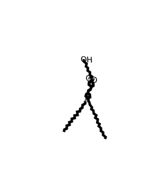 CCCCCCCCCCCCCCCCCCN(CCCCCCCCCCCCCCCCCC)c1ccc(C=Cc2ccc(S(=O)(=O)CCCCCCCCO)cc2)cc1